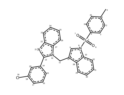 Cc1ccc(S(=O)(=O)n2cc(Cn3c(-c4cccc(Cl)c4)nc4ccccc43)c3ccccc32)cc1